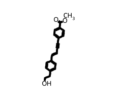 COC(=O)c1ccc(C#CC=Cc2ccc(CCO)cc2)cc1